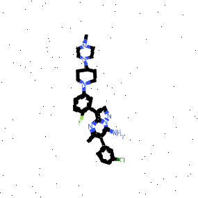 Cc1nc2c(-c3cc(N4CCC(N5CCN(C)CC5)CC4)ccc3F)cnn2c(N)c1-c1cccc(Cl)c1